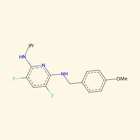 COc1ccc(CNc2nc(NC(C)C)c(F)cc2F)cc1